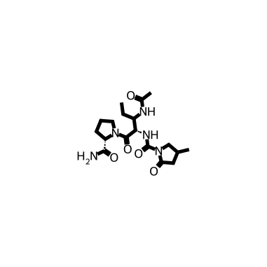 CCC(NC(C)=O)[C@H](NC(=O)N1CC(C)CC1=O)C(=O)N1CCC[C@H]1C(N)=O